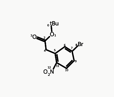 CC(C)(C)OC(=O)Cc1cc(Br)ccc1[N+](=O)[O-]